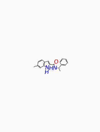 Cc1ccc2cc(C(=O)NC(C)c3ccccc3)[nH]c2c1